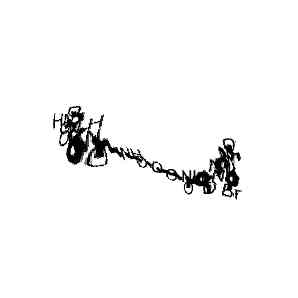 CC[C@@H]1C(=O)N(C)c2cnc(Nc3ccc(C(=O)NCCOCCOCCOCCNCCCCC(=O)Nc4cccc5c4CN(C4CCC(=O)NC4=O)C5=O)cc3OC)nc2N1Cc1ccc(Br)cc1